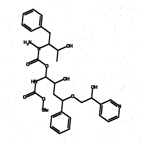 CC(O)C(Cc1ccccc1)N(N)C(=O)OC(NC(=O)OC(C)(C)C)C(O)CC(OCC(O)c1cccnc1)c1ccccc1